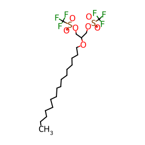 CCCCCCCCCCCCCCCCOC(COS(=O)(=O)C(F)(F)F)COS(=O)(=O)C(F)(F)F